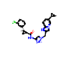 O=C(Nc1cn(Cc2cn3cc(C4CC4)ccc3n2)nn1)C1C[C@@H]1c1cccc(Cl)c1